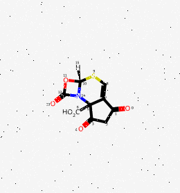 O=C1CC(=O)C2(C(=O)O)C1=CS[C@H]1OC(=O)N12